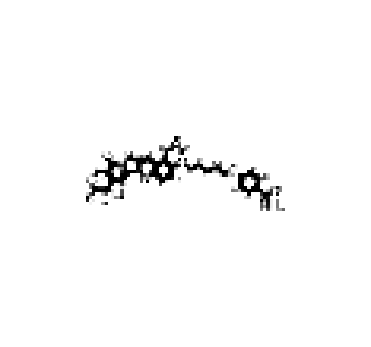 CC[C@@]1(O)C(=O)OCc2c1cc1n(c2=O)Cc2cc3c(CN(C)C)c(OCCCCCOc4ccc(C(N)=O)cc4)ccc3nc2-1